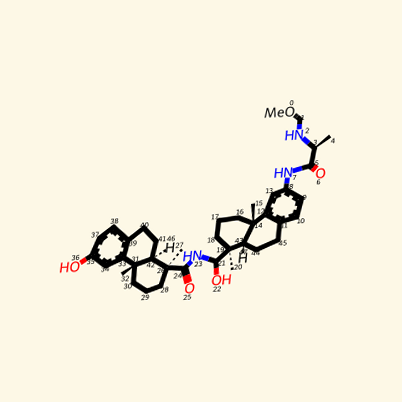 COCN[C@@H](C)C(=O)Nc1ccc2c(c1)[C@@]1(C)CCC[C@](C)(C(O)NC(=O)[C@@]3(C)CCC[C@]4(C)c5cc(O)ccc5CC[C@@H]34)[C@@H]1CC2